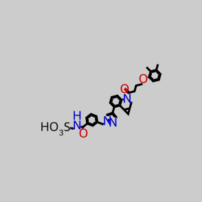 Cc1cccc(OCCCC(=O)N2CC3CC3c3c(-c4cnn(Cc5cccc(C(=O)NCS(=O)(=O)O)c5)c4)cccc32)c1C